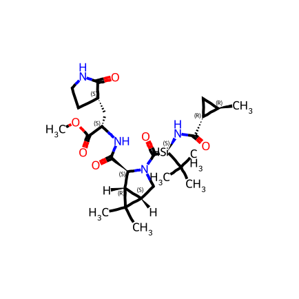 COC(=O)[C@H](C[C@@H]1CCNC1=O)NC(=O)[C@@H]1[C@@H]2[C@H](CN1C(=O)[Si@@H](NC(=O)[C@@H]1C[C@H]1C)C(C)(C)C)C2(C)C